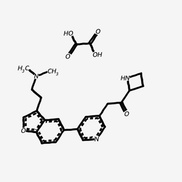 CN(C)CCc1coc2ccc(-c3cncc(CC(=O)C4CCN4)c3)cc12.O=C(O)C(=O)O